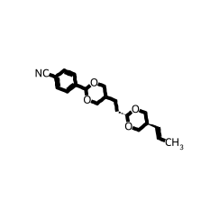 C/C=C/[C@H]1CO[C@H](CCC2COC(c3ccc(C#N)cc3)OC2)OC1